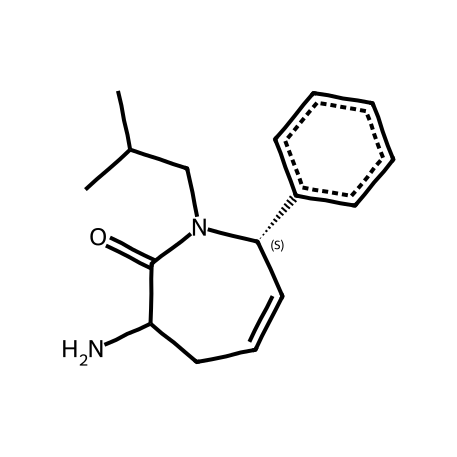 CC(C)CN1C(=O)C(N)CC=C[C@H]1c1ccccc1